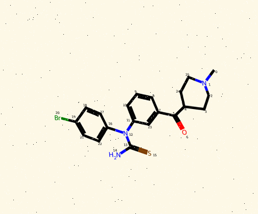 CN1CCC(C(=O)c2cccc(N(C(N)=S)c3ccc(Br)cc3)c2)CC1